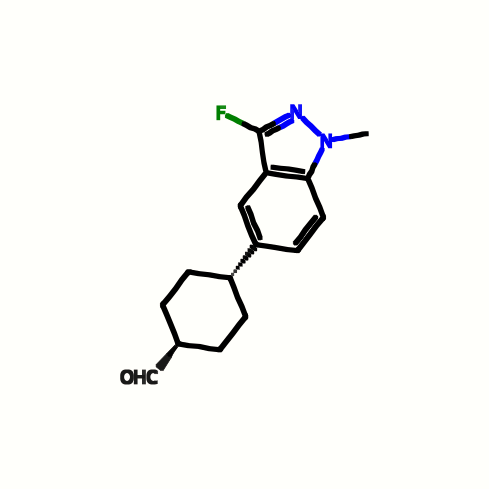 Cn1nc(F)c2cc([C@H]3CC[C@H](C=O)CC3)ccc21